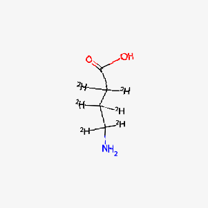 [2H]C([2H])(N)C([2H])([2H])C([2H])([2H])C(=O)O